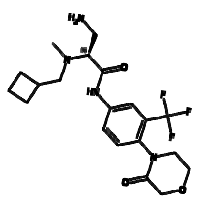 CN(CC1CCC1)[C@@H](CN)C(=O)Nc1ccc(N2CCOCC2=O)c(C(F)(F)F)c1